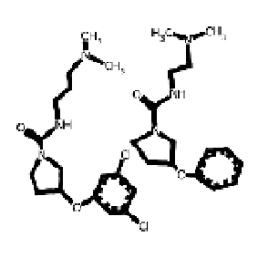 CN(C)CCCNC(=O)N1CCC(Oc2cc(Cl)cc(Cl)c2)C1.CN(C)CCNC(=O)N1CCC(Oc2ccccc2)C1